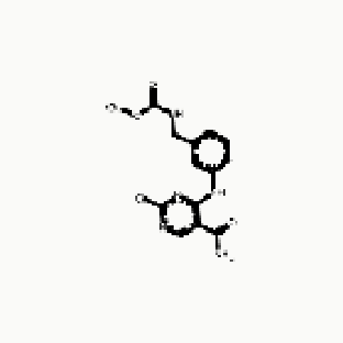 CC(C)(C)OC(=O)NCc1cccc(Nc2nc(Cl)ncc2C(N)=O)c1